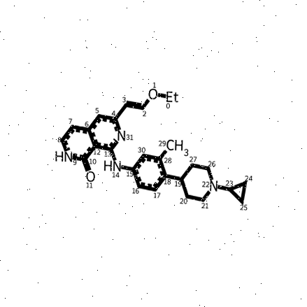 CCOC=Cc1cc2cc[nH]c(=O)c2c(Nc2ccc(C3CCN(C4CC4)CC3)c(C)c2)n1